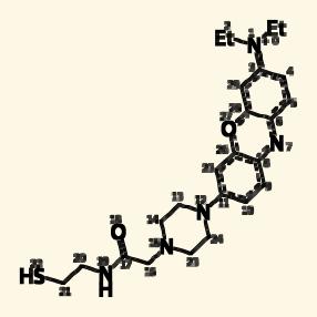 CC[N+](CC)=c1ccc2nc3ccc(N4CCN(CC(=O)NCCS)CC4)cc3oc-2c1